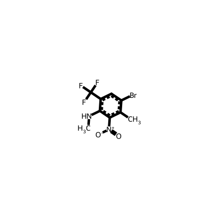 CNc1c(C(F)(F)F)cc(Br)c(C)c1[N+](=O)[O-]